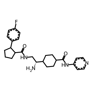 N[C@H](CNC(=O)C1CCCC1c1ccc(F)cc1)C1CCC(C(=O)Nc2ccncc2)CC1